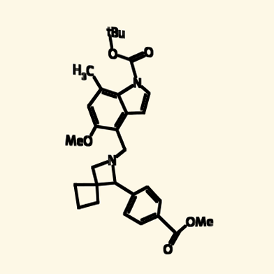 COC(=O)c1ccc(C2N(Cc3c(OC)cc(C)c4c3ccn4C(=O)OC(C)(C)C)CC23CCC3)cc1